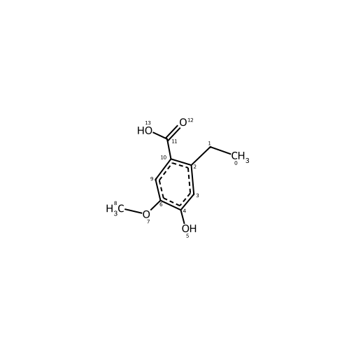 CCc1cc(O)c(OC)cc1C(=O)O